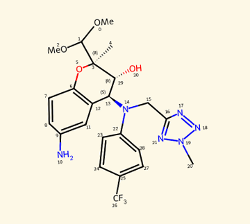 COC(OC)[C@]1(C)Oc2ccc(N)cc2[C@H](N(Cc2nnn(C)n2)c2ccc(C(F)(F)F)cc2)[C@H]1O